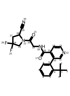 CC(C)(C)c1ccccc1-c1cnccc1C(=O)NCC(=O)N1CC(F)(F)CC1C#N